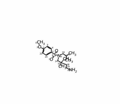 COc1ccc(S(=O)(=O)N(CC(C)C)CC(C)(C)CCN)cc1